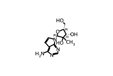 CC1(O)[C@@H](O)[C@@H](CO)O[C@H]1n1ccc2c(N)ncnc21